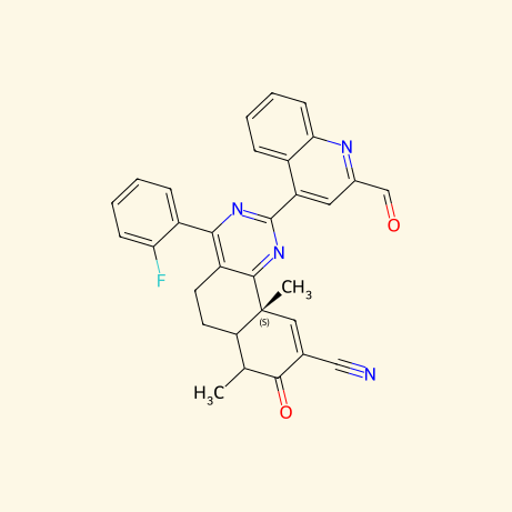 CC1C(=O)C(C#N)=C[C@@]2(C)c3nc(-c4cc(C=O)nc5ccccc45)nc(-c4ccccc4F)c3CCC12